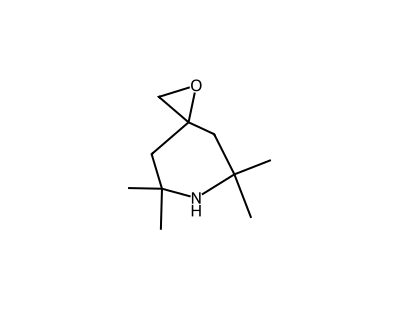 CC1(C)CC2(CO2)CC(C)(C)N1